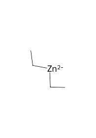 C[CH2][Zn-2][CH2]C